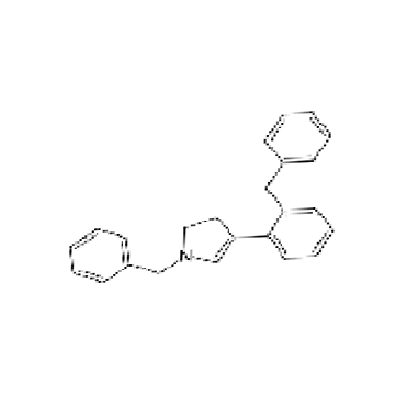 C1=C(c2ccccc2Cc2ccccc2)CCN1Cc1ccccc1